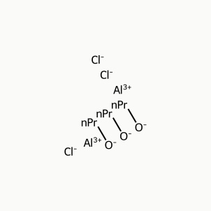 CCC[O-].CCC[O-].CCC[O-].[Al+3].[Al+3].[Cl-].[Cl-].[Cl-]